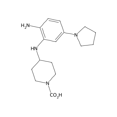 Nc1ccc(N2CCCC2)cc1NC1CCN(C(=O)O)CC1